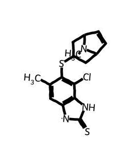 Cc1cc2c(c(Cl)c1SC1CC3C=CC(C1)N3C)NC(=S)[N]2